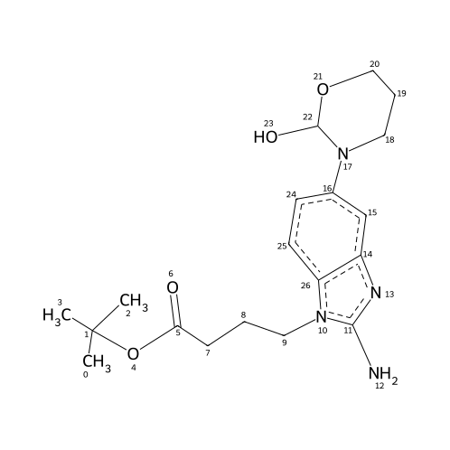 CC(C)(C)OC(=O)CCCn1c(N)nc2cc(N3CCCOC3O)ccc21